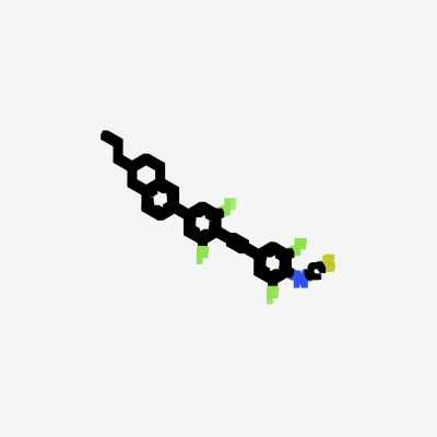 CCCC1CCc2cc(-c3cc(F)c(C#Cc4cc(F)c(N=C=S)c(F)c4)c(F)c3)ccc2C1